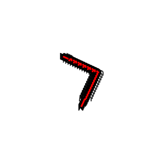 [K+].[K+].[K+].[K+].[K+].[K+].[K+].[K+].[K+].[K+].[K+].[K+].[K+].[K+].[K+].[K+].[K+].[K+].[K+].[K+].[K+].[K+].[O]=[Mn](=[O])(=[O])[O-].[O]=[Mn](=[O])(=[O])[O-].[O]=[Mn](=[O])(=[O])[O-].[O]=[Mn](=[O])(=[O])[O-].[O]=[Mn](=[O])(=[O])[O-].[O]=[Mn](=[O])(=[O])[O-].[O]=[Mn](=[O])(=[O])[O-].[O]=[Mn](=[O])(=[O])[O-].[O]=[Mn](=[O])(=[O])[O-].[O]=[Mn](=[O])(=[O])[O-].[O]=[Mn](=[O])(=[O])[O-].[O]=[Mn](=[O])(=[O])[O-].[O]=[Mn](=[O])(=[O])[O-].[O]=[Mn](=[O])(=[O])[O-].[O]=[Mn](=[O])(=[O])[O-].[O]=[Mn](=[O])(=[O])[O-].[O]=[Mn](=[O])(=[O])[O-].[O]=[Mn](=[O])(=[O])[O-].[O]=[Mn](=[O])(=[O])[O-].[O]=[Mn](=[O])(=[O])[O-].[O]=[Mn](=[O])(=[O])[O-].[O]=[Mn](=[O])(=[O])[O-].[O]=[Mn](=[O])(=[O])[O-].[O]=[Mn](=[O])(=[O])[O-]